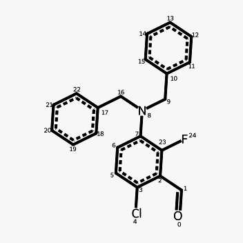 O=Cc1c(Cl)ccc(N(Cc2ccccc2)Cc2ccccc2)c1F